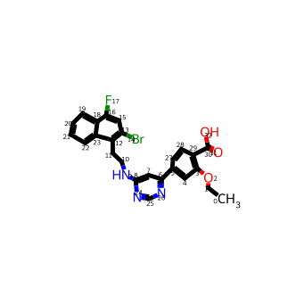 CCOc1cc(-c2cc(NCCc3c(Br)cc(F)c4ccccc34)ncn2)ccc1C(=O)O